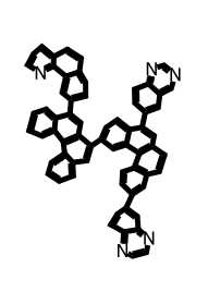 c1ccc2c(c1)cc(-c1ccc3c(-c4ccc5ncncc5c4)cc4ccc5cc(-c6ccc7nccnc7c6)ccc5c4c3c1)c1cc(-c3ccc4ccc5cccnc5c4c3)c3ccccc3c12